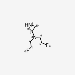 FCCN(CCF)C1CNC1